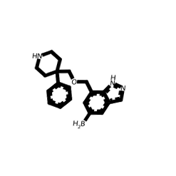 Bc1cc(COCC2(c3ccccc3)CCNCC2)c2[nH]ncc2c1